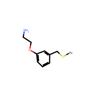 CC(=O)SCc1cccc(OCCN)c1